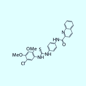 COc1cc(OC)c(NC(=S)Nc2ccc(NC(=O)c3ccc4ccccc4n3)cc2)cc1Cl